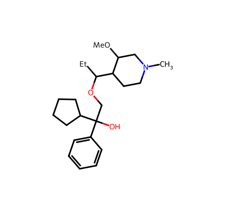 CCC(OCC(O)(c1ccccc1)C1CCCC1)C1CCN(C)CC1OC